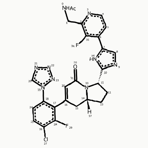 CC(=O)NCc1nccc(-c2cnc([C@@H]3CC[C@@H]4CC(c5c(-n6cnnn6)ccc(Cl)c5F)=CC(=O)N43)[nH]2)c1F